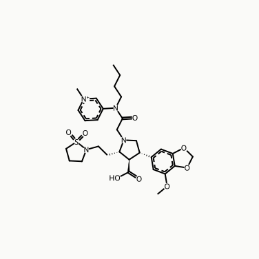 CCCCN(C(=O)CN1C[C@H](c2cc(OC)c3c(c2)OCO3)[C@@H](C(=O)O)[C@@H]1CCN1CCCS1(=O)=O)c1ccc[n+](C)c1